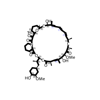 CO[C@@H]1C(=O)[C@H](C)C[C@H](C)/C=C/C=C/C=C(\C)[C@H](O)C[C@H]2CC[C@@H](C)[C@@](O)(O2)C(=O)C(=O)N2CCCC[C@H]2C(=O)O[C@H]([C@H](C)C[C@@H]2CC[C@H](O)[C@H](OC)C2)CC(=O)[C@H](C)/C=C(\C)[C@H]1O